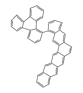 c1ccc2cc3cc4c(ccc5cc6cccc(-c7cccc8c9ccccc9c9ccccc9c78)c6cc54)cc3cc2c1